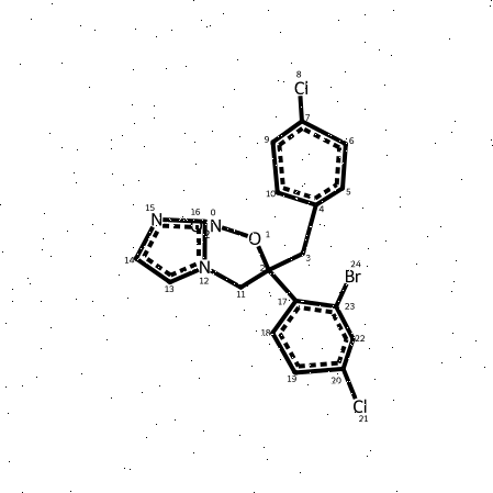 O=[N+]([O-])OC(Cc1ccc(Cl)cc1)(Cn1ccnc1)c1ccc(Cl)cc1Br